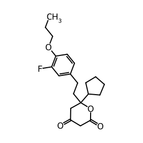 CCCOc1ccc(CCC2(C3CCCC3)CC(=O)CC(=O)O2)cc1F